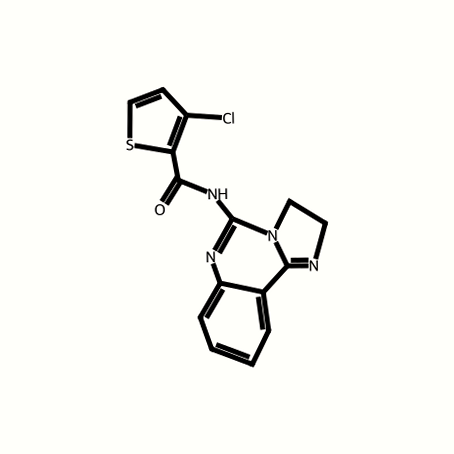 O=C(NC1=Nc2ccccc2C2=NCCN12)c1sccc1Cl